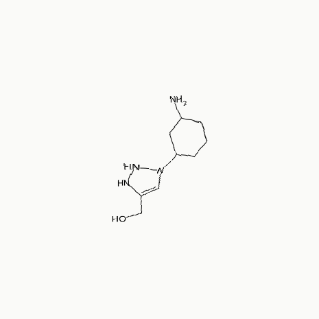 NC1CCCC(N2C=C(CO)NN2)C1